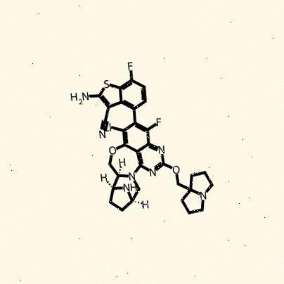 N#Cc1c(N)sc2c(F)ccc(-c3c(Cl)c4c5c(nc(OCC67CCCN6CCC7)nc5c3F)N3C[C@H]5CC[C@H](N5)[C@H]3CO4)c12